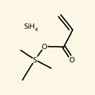 C=CC(=O)OS(C)(C)C.[SiH4]